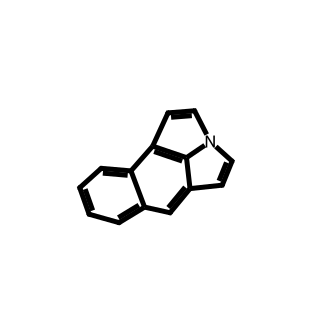 c1ccc2c(c1)cc1ccn3ccc2c13